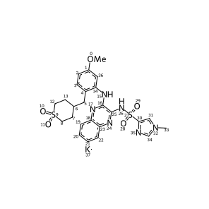 COc1ccc(CC2CCS(=O)(=O)CC2)c(Nc2nc3ccccc3nc2NS(=O)(=O)c2cn(C)cn2)c1.[K]